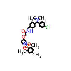 Cc1cc(C)c(S(=O)(=O)N2CCC(OCC(=O)NCC3CCC(C(c4ccc(Cl)cc4)N(C)C)CC3)C2)c(C)c1